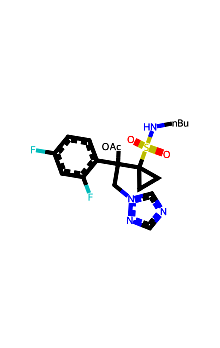 CCCCNS(=O)(=O)C1(C(Cn2cncn2)(OC(C)=O)c2ccc(F)cc2F)CC1